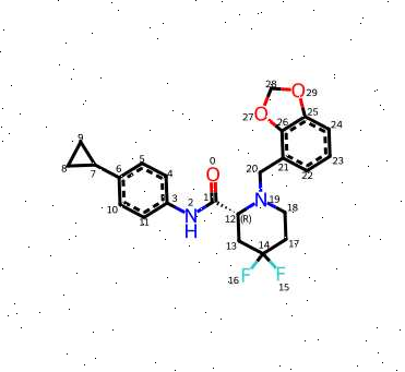 O=C(Nc1ccc(C2CC2)cc1)[C@H]1CC(F)(F)CCN1Cc1cccc2c1OCO2